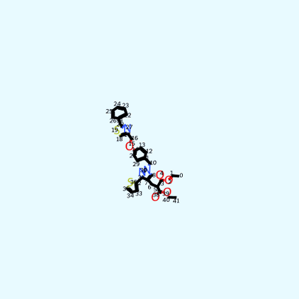 CCOC(=O)C(Cc1cn(Cc2ccc(OCc3csc(-c4ccccc4)n3)cc2)nc1-c1cccs1)C(=O)OCC